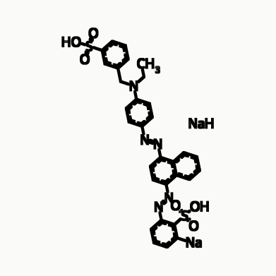 CCN(Cc1cccc(S(=O)(=O)O)c1)c1ccc(N=Nc2ccc(N=Nc3ccc[c]([Na])c3S(=O)(=O)O)c3ccccc23)cc1.[NaH]